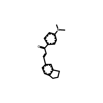 CN(C)c1ccc(C(=O)C=Cc2ccc3c(c2)CCC3)cc1